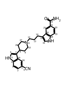 N#Cc1ccc2[nH]cc(C3CCN(CCCc4c[nH]c5ccc(C(N)=O)cc45)CC3)c2c1